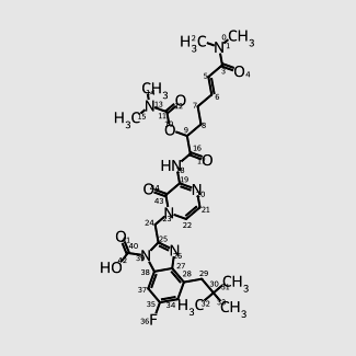 CN(C)C(=O)C=CCCC(OC(=O)N(C)C)C(=O)Nc1nccn(Cc2nc3c(CC(C)(C)C)cc(F)cc3n2C(=O)O)c1=O